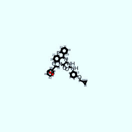 O=C(Nc1cccc(OCC2CC2)c1)NC1N=C(c2ccccc2F)c2ccccc2N(CC(=O)N2CC3CCC(CC3)C2)C1=O